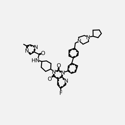 Cc1cnc(C(=O)NC2CCC(n3c(=O)c4cc(F)cnc4n(-c4cccc(-c5ccc(CN6CCN(C7CCCC7)CC6)cc5)c4)c3=O)CC2)cn1